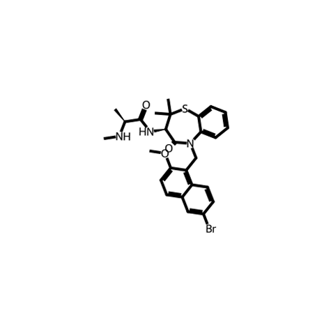 CN[C@@H](C)C(=O)N[C@@H]1C(=O)N(Cc2c(OC)ccc3cc(Br)ccc23)c2ccccc2SC1(C)C